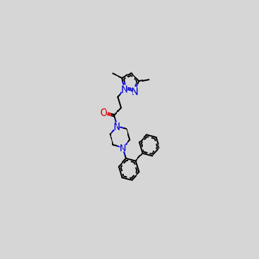 Cc1cc(C)n(CCC(=O)N2CCN(c3ccccc3-c3ccccc3)CC2)n1